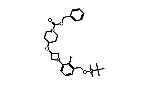 CC(C)(C)[Si](C)(C)OCc1cccc(N2CC(OC3CCN(C(=O)OCc4ccccc4)CC3)C2)c1F